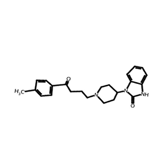 Cc1ccc(C(=O)CCCN2CCC(n3c(=O)[nH]c4ccccc43)CC2)cc1